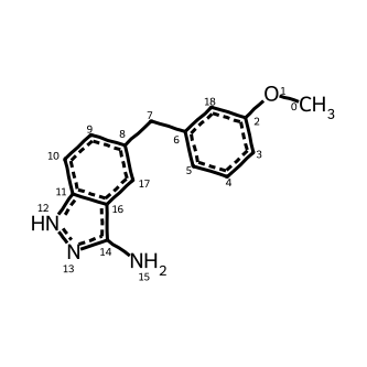 COc1cccc(Cc2ccc3[nH]nc(N)c3c2)c1